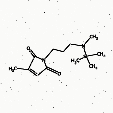 CC1=CC(=O)N(CCCN(C)[Si](C)(C)C)C1=O